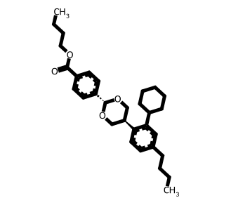 CCCCOC(=O)c1ccc([C@H]2OC[C@H](c3ccc(CCCC)cc3C3CCCCC3)CO2)cc1